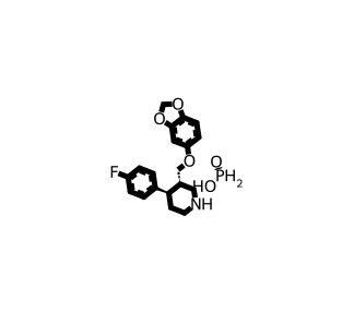 Fc1ccc([C@@H]2CCNC[C@H]2COc2ccc3c(c2)OCO3)cc1.O=[PH2]O